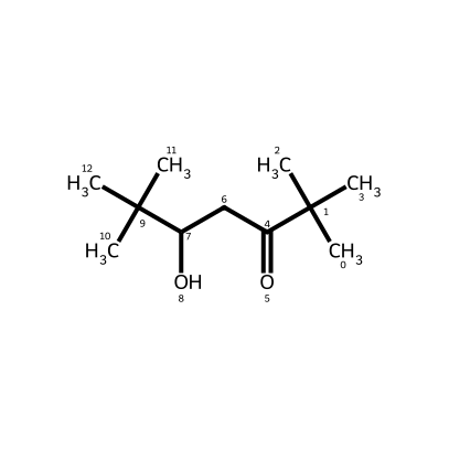 CC(C)(C)C(=O)CC(O)C(C)(C)C